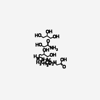 CC(=O)O.CC(N)=O.CC(O)CO.CCCC(=O)O.NC(=O)CO.OCC(O)CO